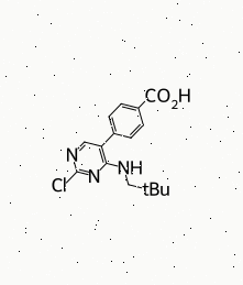 CC(C)(C)CNc1nc(Cl)ncc1-c1ccc(C(=O)O)cc1